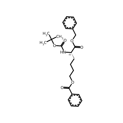 CC(C)(C)OC(=O)N[C@@H](CCCCOC(=O)c1ccccc1)C(=O)OCc1ccccc1